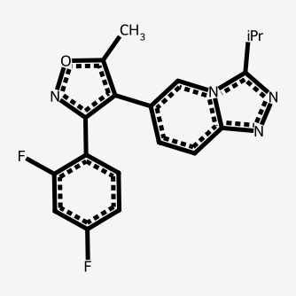 Cc1onc(-c2ccc(F)cc2F)c1-c1ccc2nnc(C(C)C)n2c1